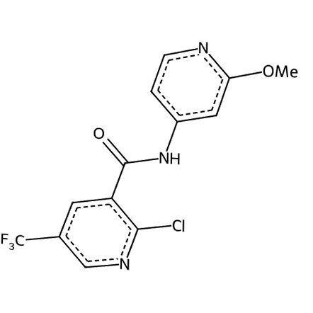 COc1cc(NC(=O)c2cc(C(F)(F)F)cnc2Cl)ccn1